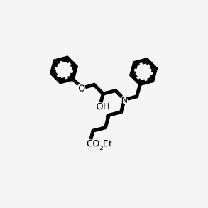 CCOC(=O)CCCCN(Cc1ccccc1)CC(O)COc1ccccc1